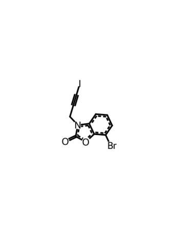 O=c1oc2c(Br)cccc2n1CC#CI